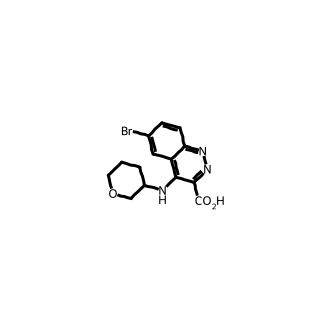 O=C(O)c1nnc2ccc(Br)cc2c1NC1CCCOC1